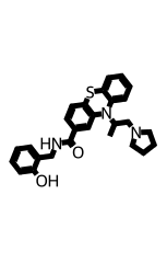 CC(CN1CCCC1)N1c2ccccc2Sc2ccc(C(=O)NCc3ccccc3O)cc21